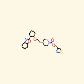 O=C(OCc1cscn1)N1CCC(CCOc2ccccc2-c2nc3ccccc3o2)CC1